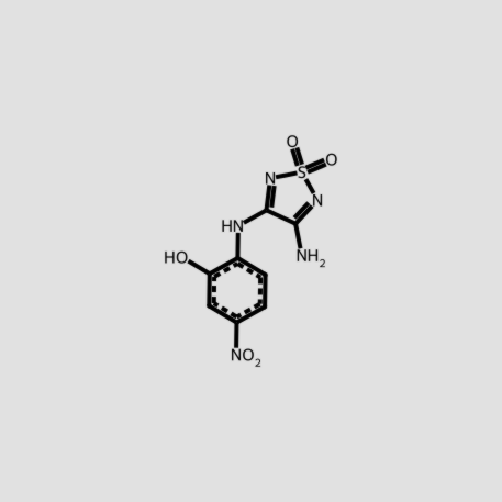 NC1=NS(=O)(=O)N=C1Nc1ccc([N+](=O)[O-])cc1O